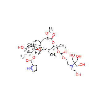 CO[C@H]1CC2C=C[C@@H]3C[C@]2(O[C@H]3[C@H](OC(=O)c2ccc[nH]2)[C@H](C)[C@H](C)O)/C(C)=C/[C@@H](C)[C@@H]([C@@H](C)OC(=O)OCCN(CCO)C(CO)(CO)CO)OC1=O